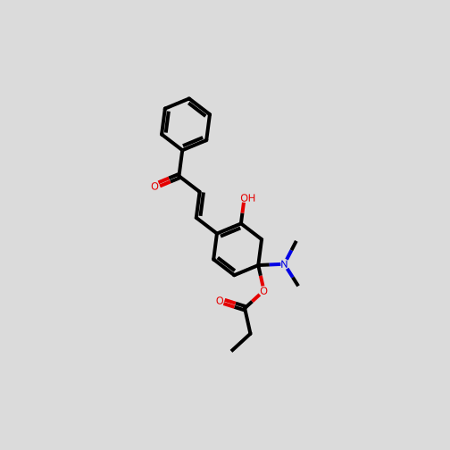 CCC(=O)OC1(N(C)C)C=CC(C=CC(=O)c2ccccc2)=C(O)C1